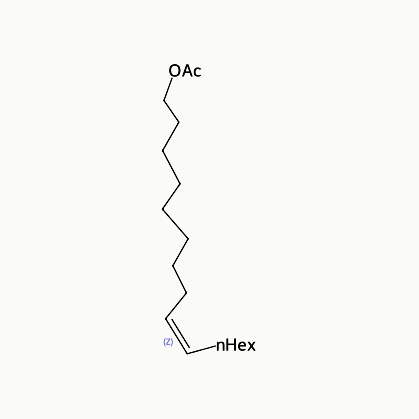 CCCCCC/C=C\CCCCCCCCOC(C)=O